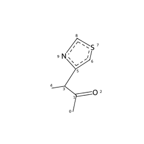 CC(=O)C(C)c1cscn1